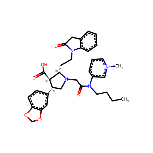 CCCCN(C(=O)CN1C[C@H](c2ccc3c(c2)OCO3)[C@@H](C(=O)O)[C@@H]1CCN1C(=O)Cc2ccccc21)c1ccc[n+](C)c1